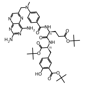 CN(Cc1cnc2nc(N)nc(N)c2n1)c1ccc(C(=O)N[C@@H](CCC(=O)OC(C)(C)C)C(=O)N[C@@H](Cc2ccc(O)c(C(=O)OC(C)(C)C)c2)C(=O)OC(C)(C)C)cc1